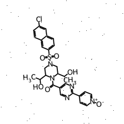 CC(O)C1CN(S(=O)(=O)c2ccc3cc(Cl)ccc3c2)CC(C(C)O)N1C(=O)c1cnc(-c2cc[n+]([O-])cc2)nc1